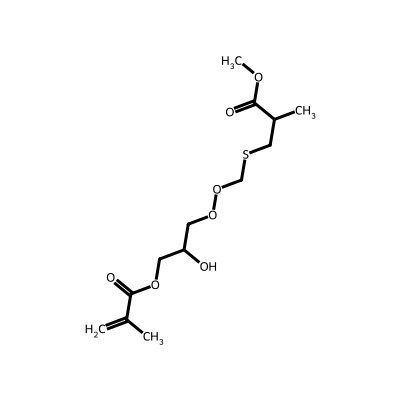 C=C(C)C(=O)OCC(O)COOCSCC(C)C(=O)OC